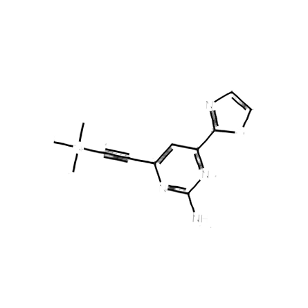 C[Si](C)(C)C#Cc1cc(-c2ncco2)nc(N)n1